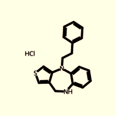 Cl.c1ccc(CCN2c3cscc3CNc3ccccc32)cc1